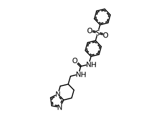 O=C(NCC1CCc2nccn2C1)Nc1ccc(S(=O)(=O)c2ccccc2)cc1